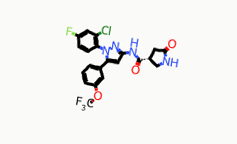 O=C1C[C@@H](C(=O)Nc2cc(-c3cccc(OC(F)(F)F)c3)n(-c3ccc(F)cc3Cl)n2)CN1